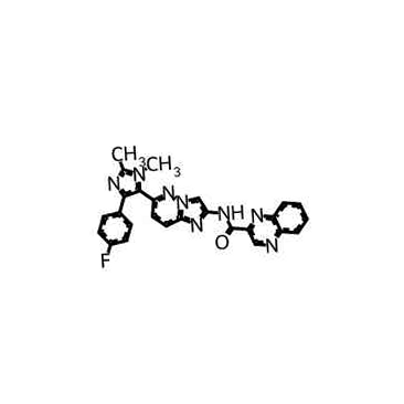 Cc1nc(-c2ccc(F)cc2)c(-c2ccc3nc(NC(=O)c4cnc5ccccc5n4)cn3n2)n1C